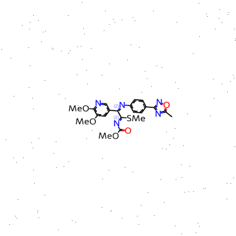 COC(=O)/N=C(SC)/C(=N\c1ccc(-c2noc(C)n2)cc1)c1cnc(OC)c(OC)c1